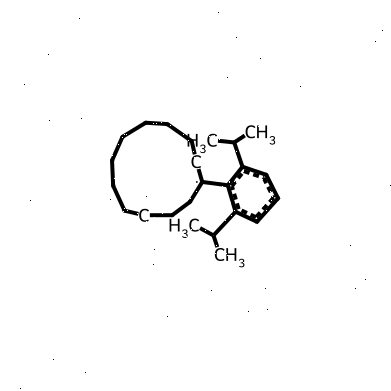 CC(C)c1cccc(C(C)C)c1[C]1CCCCCCCCCCC1